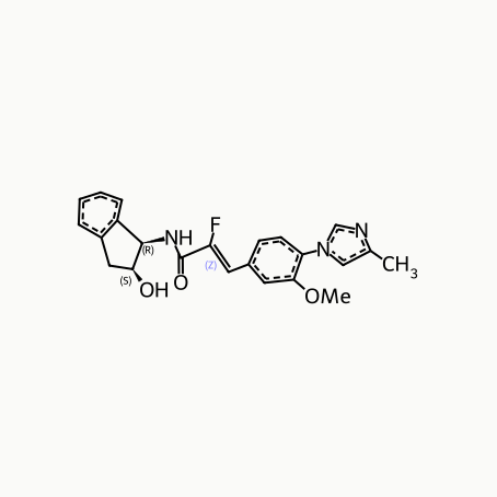 COc1cc(/C=C(\F)C(=O)N[C@@H]2c3ccccc3C[C@@H]2O)ccc1-n1cnc(C)c1